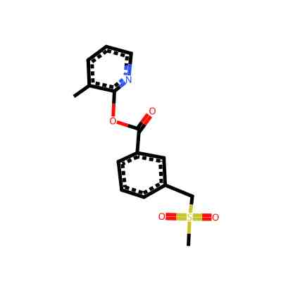 Cc1cccnc1OC(=O)c1cccc(CS(C)(=O)=O)c1